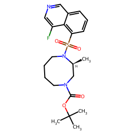 C[C@H]1CN(C(=O)OC(C)(C)C)CCCCN1S(=O)(=O)c1cccc2cncc(F)c12